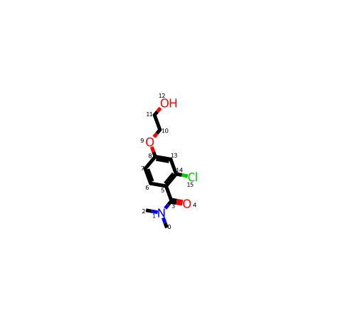 CN(C)C(=O)c1ccc(OCCO)cc1Cl